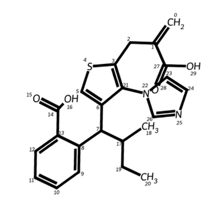 C=C(Cc1scc(C(c2ccccc2C(=O)O)C(C)CC)c1-n1ccnc1)C(=O)O